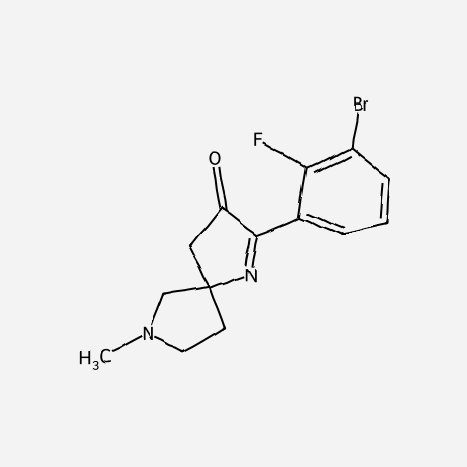 CN1CCC2(CC(=O)C(c3cccc(Br)c3F)=N2)C1